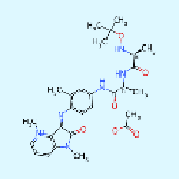 CC(=O)[O-].Cc1cc(NC(=O)[C@H](C)NC(=O)[C@H](C)NOC(C)(C)C)ccc1N=C1C(=O)N(C)c2ccc[n+](C)c21